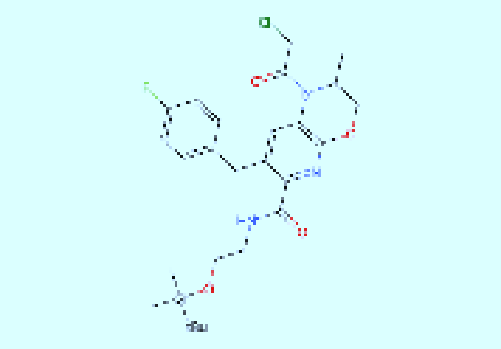 CC1COc2nc(C(=O)NCCO[Si](C)(C)C(C)(C)C)c(Cc3ccc(F)cc3)cc2N1C(=O)CCl